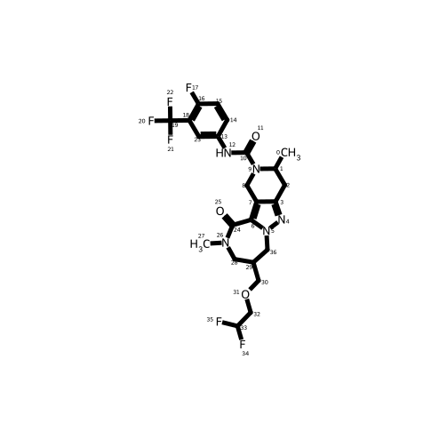 CC1Cc2nn3c(c2CN1C(=O)Nc1ccc(F)c(C(F)(F)F)c1)C(=O)N(C)CC(COCC(F)F)C3